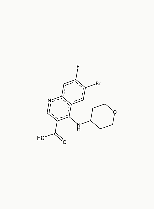 O=C(O)c1cnc2cc(F)c(Br)cc2c1NC1CCOCC1